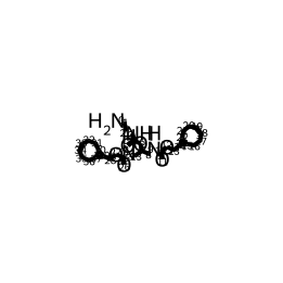 NCCNC(=O)OC(CNC(=O)OCC1C2CCC=CCCC21)CNC(=O)OCC1C2CCC=CCCC21